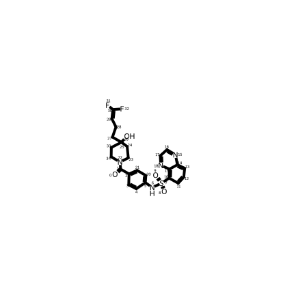 O=C(c1ccc(NS(=O)(=O)c2cccc3nccnc23)cc1)N1CCC(O)(CCC=C(F)F)CC1